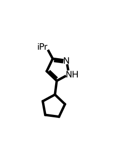 CC(C)c1cc(C2CCCC2)[nH]n1